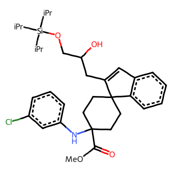 COC(=O)C1(Nc2cccc(Cl)c2)CCC2(CC1)C(CC(O)CO[Si](C(C)C)(C(C)C)C(C)C)=Cc1ccccc12